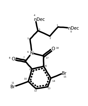 CCCCCCCCCCCCC(CCCCCCCCCC)CN1C(=O)c2c(Br)ccc(Br)c2C1=O